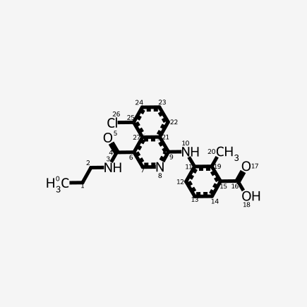 CCCNC(=O)c1cnc(Nc2cccc(C(=O)O)c2C)c2cccc(Cl)c12